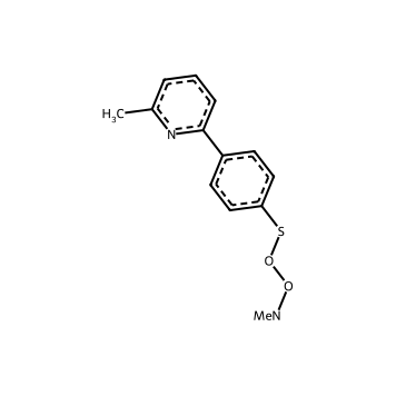 CNOOSc1ccc(-c2cccc(C)n2)cc1